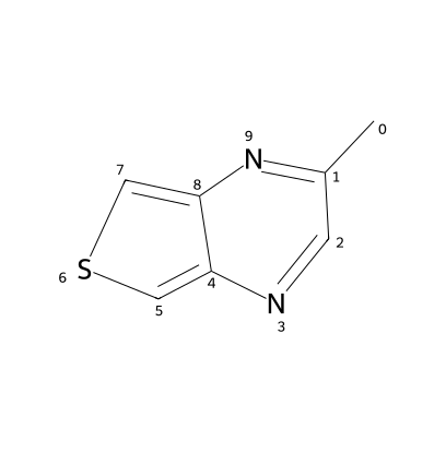 Cc1cnc2cscc2n1